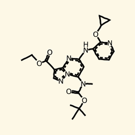 CCOC(=O)c1cnn2c(N(C)C(=O)OC(C)(C)C)cc(Nc3cccnc3OC3CC3)nc12